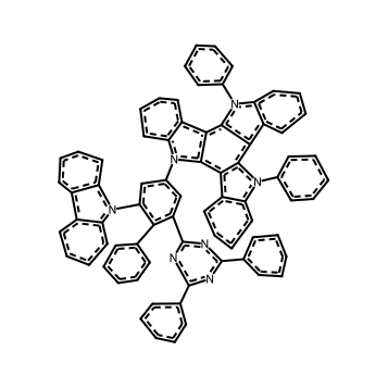 c1ccc(-c2nc(-c3ccccc3)nc(-c3cc(-n4c5ccccc5c5c6c(c7ccccc7n6-c6ccccc6)c6c(c7ccccc7n6-c6ccccc6)c54)cc(-n4c5ccccc5c5ccccc54)c3-c3ccccc3)n2)cc1